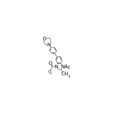 CC(=O)N1c2ccc(-c3ccc(N4CCOCC4)cc3)cc2N(C(=O)C2CC2)C[C@@H]1C